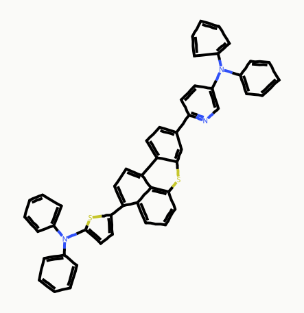 c1ccc(N(c2ccccc2)c2ccc(-c3ccc4c(c3)Sc3cccc5c(-c6ccc(N(c7ccccc7)c7ccccc7)s6)ccc-4c35)nc2)cc1